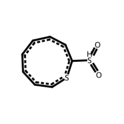 O=[SH](=O)c1cccccccs1